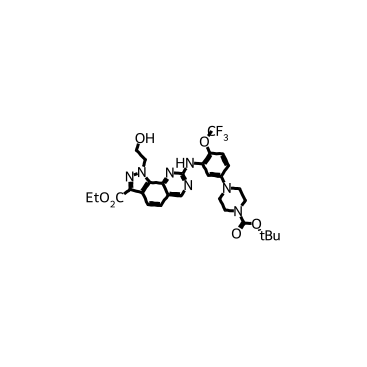 CCOC(=O)c1nn(CCO)c2c1ccc1cnc(Nc3cc(N4CCN(C(=O)OC(C)(C)C)CC4)ccc3OC(F)(F)F)nc12